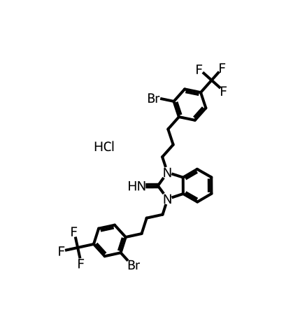 Cl.N=c1n(CCCc2ccc(C(F)(F)F)cc2Br)c2ccccc2n1CCCc1ccc(C(F)(F)F)cc1Br